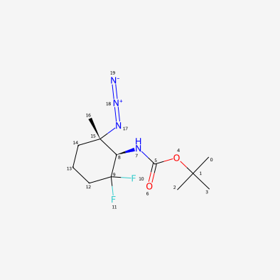 CC(C)(C)OC(=O)N[C@H]1C(F)(F)CCC[C@]1(C)N=[N+]=[N-]